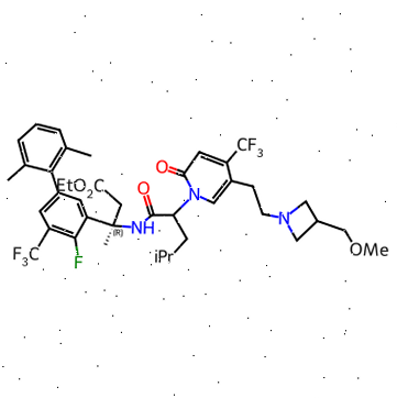 CCOC(=O)C[C@@](C)(NC(=O)C(CC(C)C)n1cc(CCN2CC(COC)C2)c(C(F)(F)F)cc1=O)c1cc(-c2c(C)cccc2C)cc(C(F)(F)F)c1F